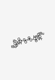 CC(C)[C@H](NC(=O)OC(C)(C)C)C(=O)OCCOC(=O)/C=C/C(=O)OCCOC(=O)[C@@H](NC(=O)OC(C)(C)C)C(C)C